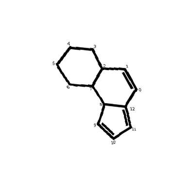 [C]1=CC2CCCCC2C2C=CC=C12